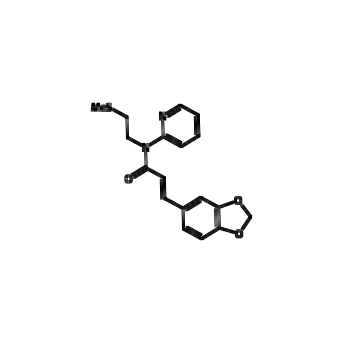 CSCCN(C(=O)C=Cc1ccc2c(c1)OCO2)c1ccccn1